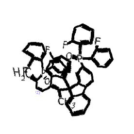 C=C(/C=C\C1=C(C)C2(c3ccccc31)c1ccccc1-c1ccc(P(=O)(c3ccccc3F)c3ccccc3F)cc12)P(=O)(c1ccccc1F)c1ccccc1F